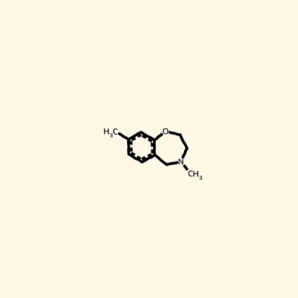 Cc1ccc2c(c1)OCCN(C)C2